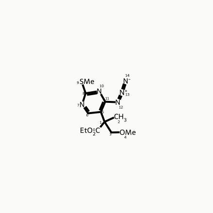 CCOC(=O)C(C)(COC)c1cnc(SC)nc1N=[N+]=[N-]